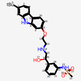 CC(C)(C)c1ccc2c(c1)[nH]c1cc(OCCNC[C@H](O)c3cccc(NS(C)(=O)=O)c3)ccc12